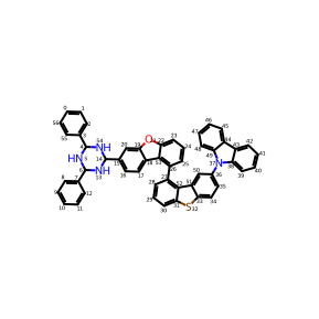 c1ccc(C2NC(c3ccccc3)NC(c3ccc4c(c3)oc3cccc(-c5cccc6sc7ccc(-n8c9ccccc9c9ccccc98)cc7c56)c34)N2)cc1